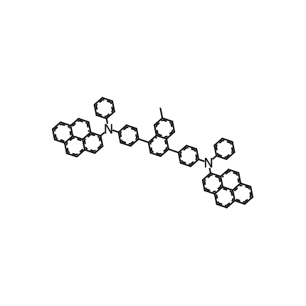 Cc1ccc2c(-c3ccc(N(c4ccccc4)c4ccc5ccc6cccc7ccc4c5c67)cc3)ccc(-c3ccc(N(c4ccccc4)c4ccc5ccc6cccc7ccc4c5c67)cc3)c2c1